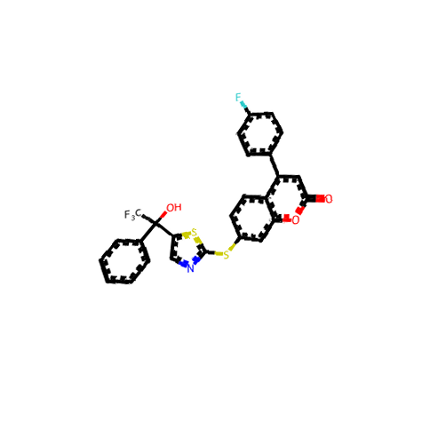 O=c1cc(-c2ccc(F)cc2)c2ccc(Sc3ncc(C(O)(c4ccccc4)C(F)(F)F)s3)cc2o1